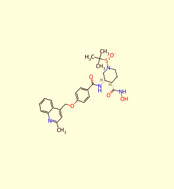 Cc1cc(COc2ccc(C(=O)N[C@@H]3CN([S+]([O-])C(C)(C)C)CC[C@@H]3C(=O)NO)cc2)c2ccccc2n1